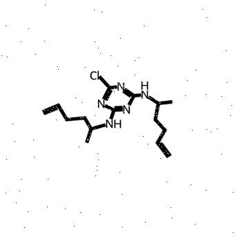 C=CCCC(C)Nc1nc(Cl)nc(NC(C)CCC=C)n1